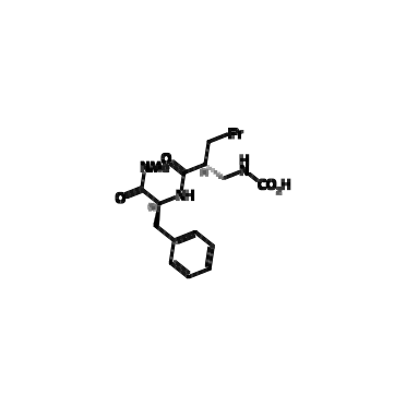 CNC(=O)[C@H](Cc1ccccc1)NC(=O)[C@@H](CNC(=O)O)CC(C)C